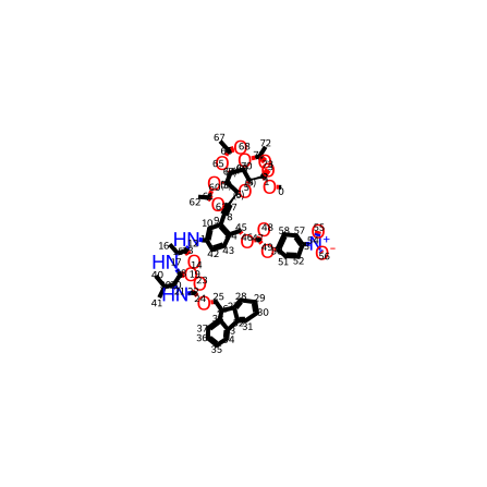 COC(=O)[C@H]1O[C@@H](C#Cc2cc(NC(=O)C(C)NC(=O)C(NC(=O)OCC3c4ccccc4-c4ccccc43)C(C)C)ccc2COC(=O)Oc2ccc([N+](=O)[O-])cc2)[C@H](OC(C)=O)[C@@H](OC(C)=O)[C@@H]1OC(C)=O